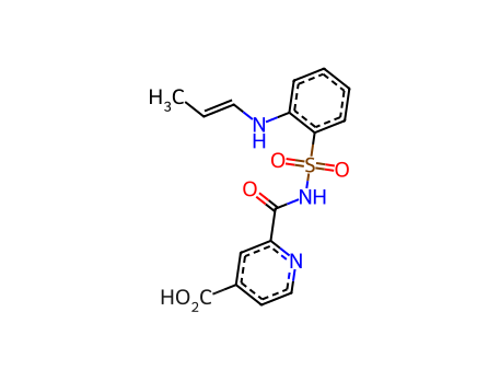 CC=CNc1ccccc1S(=O)(=O)NC(=O)c1cc(C(=O)O)ccn1